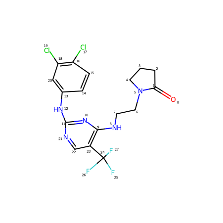 O=C1CCCN1CCNc1nc(Nc2ccc(Cl)c(Cl)c2)ncc1C(F)(F)F